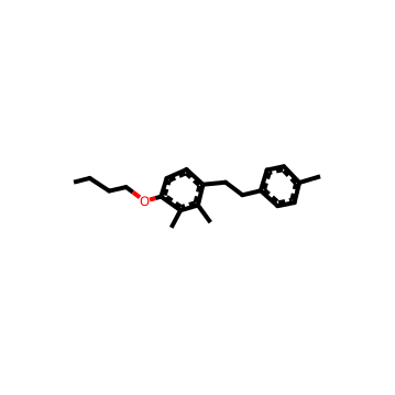 CCCCOc1ccc(CCc2ccc(C)cc2)c(C)c1C